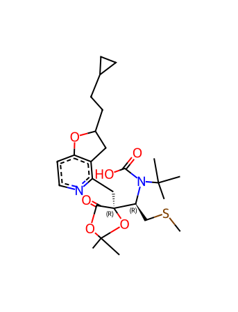 CSC[C@H](N(C(=O)O)C(C)(C)C)[C@@]1(Cc2nccc3c2CC(CCC2CC2)O3)OC(C)(C)OC1=O